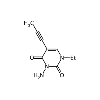 CC#Cc1cn(CC)c(=O)n(N)c1=O